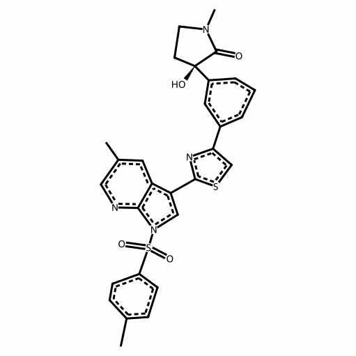 Cc1ccc(S(=O)(=O)n2cc(-c3nc(-c4cccc([C@]5(O)CCN(C)C5=O)c4)cs3)c3cc(C)cnc32)cc1